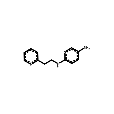 Nc1ccc(NCCc2ccccn2)nc1